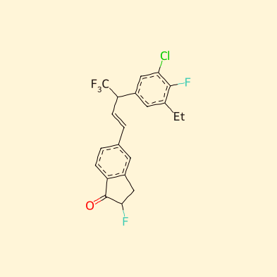 CCc1cc(C(/C=C/c2ccc3c(c2)CC(F)C3=O)C(F)(F)F)cc(Cl)c1F